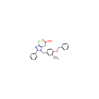 Cc1cc(Cn2c(-c3ccccc3)nc(Cl)c2CC(=O)O)ccc1OCc1ccccc1